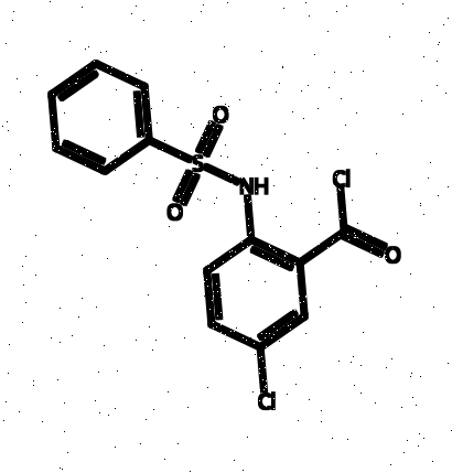 O=C(Cl)c1cc(Cl)ccc1NS(=O)(=O)c1ccccc1